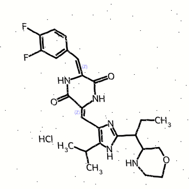 CCC(c1nc(/C=c2\[nH]c(=O)/c(=C/c3ccc(F)c(F)c3)[nH]c2=O)c(C(C)C)[nH]1)C1COCCN1.Cl